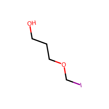 OCCCOCI